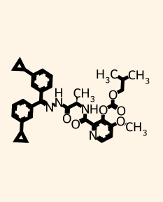 COc1ccnc(C(=O)N[C@@H](C)C(=O)NN=C(c2cccc(C3CC3)c2)c2cccc(C3CC3)c2)c1OC(=O)OCC(C)C